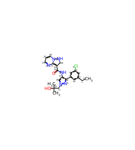 CCc1cc(Cl)cc(-c2nn(CC(C)(C)O)cc2NC(=O)C2=C3N=CC=CN3NC2)c1